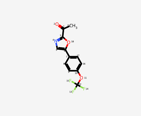 CC(=O)c1ncc(-c2ccc(OC(F)(F)F)cc2)o1